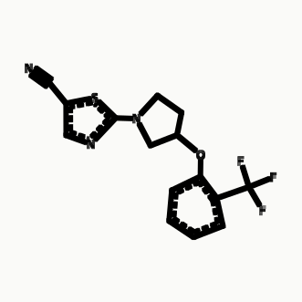 N#Cc1cnc(N2CCC(Oc3ccccc3C(F)(F)F)C2)s1